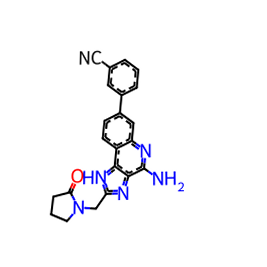 N#Cc1cccc(-c2ccc3c(c2)nc(N)c2nc(CN4CCCC4=O)[nH]c23)c1